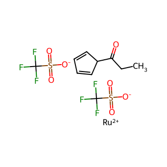 CCC(=O)C1C=CC=C1.O=S(=O)([O-])C(F)(F)F.O=S(=O)([O-])C(F)(F)F.[Ru+2]